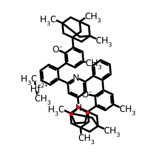 Cc1cc(-c2ccccc2-c2cc(N3CCCC3)cc(-c3ccccc3-c3cc(C)cc(C45CC6(C)CC(C)(CC(C)(C6)C4)C5)c3[O-])n2)c([O-])c(C23CC4(C)CC(C)(CC(C)(C4)C2)C3)c1.[CH3][Hf+2][CH3]